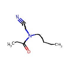 CC[CH]N(C#N)C(C)=O